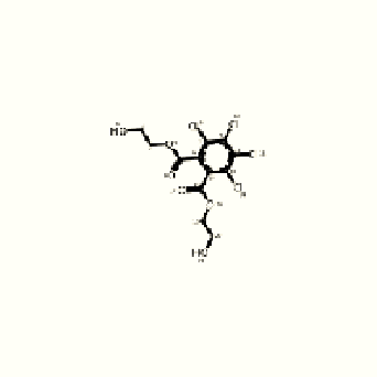 O=C(OCCO)c1c(Cl)c(Cl)c(Cl)c(Cl)c1C(=O)OCCO